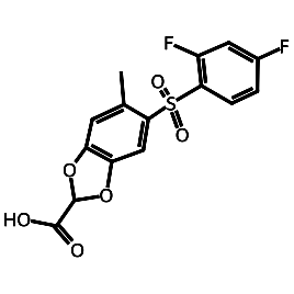 Cc1cc2c(cc1S(=O)(=O)c1ccc(F)cc1F)OC(C(=O)O)O2